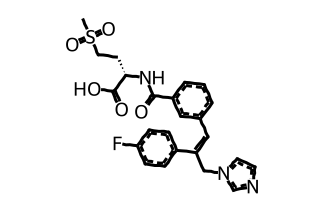 CS(=O)(=O)CC[C@H](NC(=O)c1cccc(/C=C(/Cn2ccnc2)c2ccc(F)cc2)c1)C(=O)O